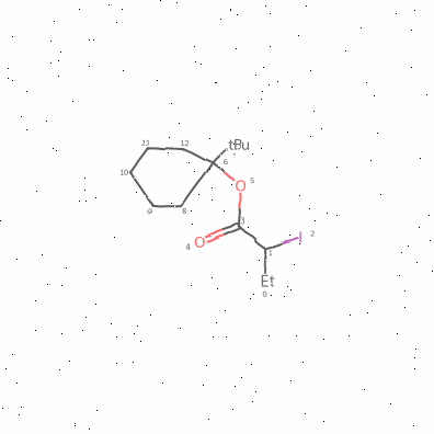 CCC(I)C(=O)OC1(C(C)(C)C)CCCCC1